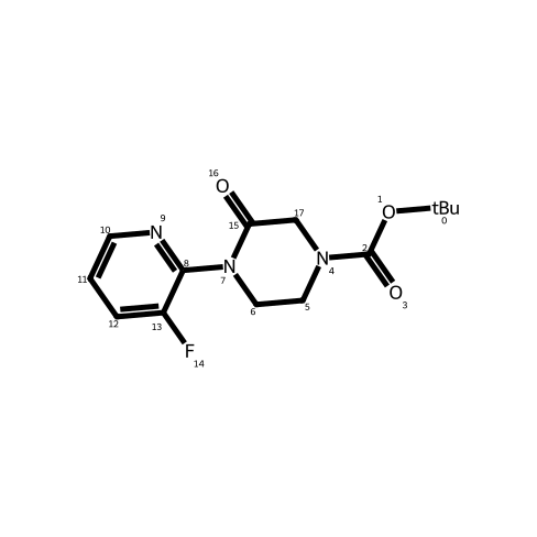 CC(C)(C)OC(=O)N1CCN(c2ncccc2F)C(=O)C1